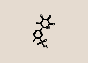 Cc1ccc(N2NC(=O)C(=O)C(=O)C2C)cc1S(N)(=O)=O